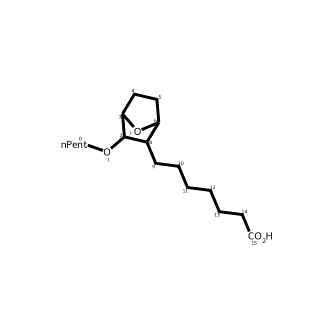 CCCCCOC1C2CCC(O2)C1CCCCCCC(=O)O